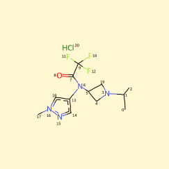 CC(C)N1CC(N(C(=O)C(F)(F)F)c2cnn(C)c2)C1.Cl